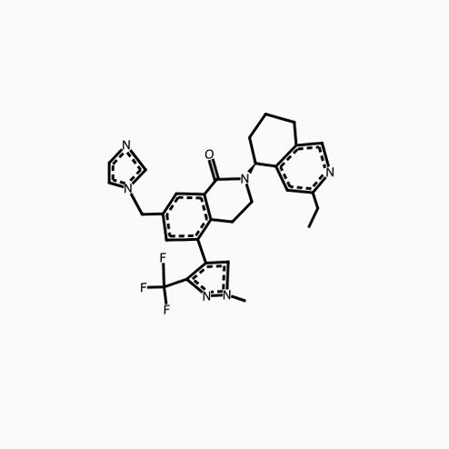 CCc1cc2c(cn1)CCC[C@@H]2N1CCc2c(cc(Cn3ccnc3)cc2-c2cn(C)nc2C(F)(F)F)C1=O